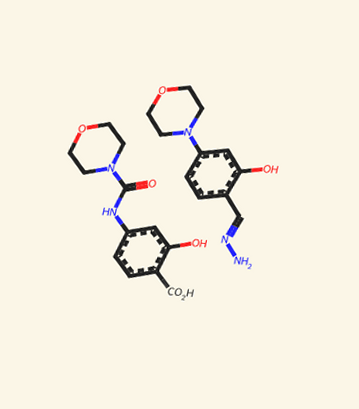 NN=Cc1ccc(N2CCOCC2)cc1O.O=C(O)c1ccc(NC(=O)N2CCOCC2)cc1O